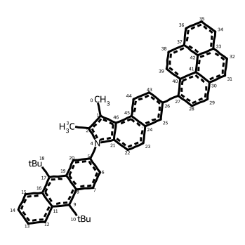 Cc1c(C)n(-c2ccc3c(C(C)(C)C)c4ccccc4c(C(C)(C)C)c3c2)c2ccc3cc(-c4ccc5ccc6cccc7ccc4c5c67)ccc3c12